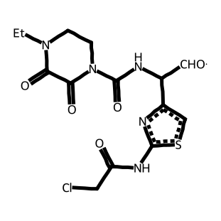 CCN1CCN(C(=O)NC([C]=O)c2csc(NC(=O)CCl)n2)C(=O)C1=O